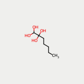 CCCCCC(O)(O)C(O)O